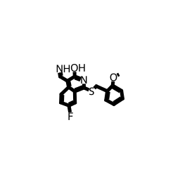 COc1ccccc1CSc1nc(O)c(C=N)c2ccc(F)cc12